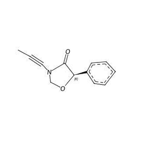 CC#CN1CO[C@H](c2ccccc2)C1=O